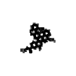 C=CC(=O)N1CCN(c2nc(=O)n(-c3c(C)ccnc3C(C)C)c3nc(-c4c(O)cccc4F)c(F)cc23)[C@@H](C(F)F)C1